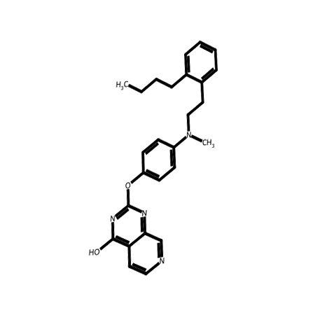 CCCCc1ccccc1CCN(C)c1ccc(Oc2nc(O)c3ccncc3n2)cc1